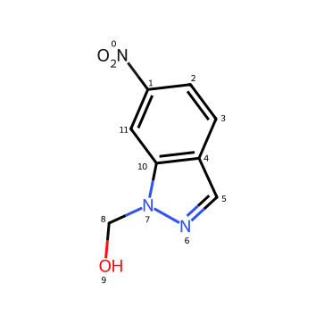 O=[N+]([O-])c1ccc2cnn(CO)c2c1